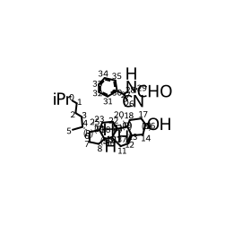 CC(C)CCCC(C)[C@H]1CC[C@H]2[C@@H]3CC=C4C[C@@H](O)CC[C@]4(C)[C@H]3CC[C@]12C.N#CC(NC=O)c1ccccc1